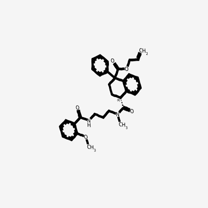 C=CCOC(=O)C1(c2ccccc2)CC[C@@H](C(=O)N(C)CCCNC(=O)c2ccccc2OC)c2ccccc21